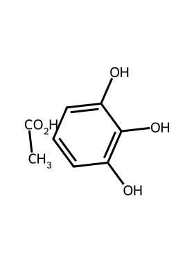 CC(=O)O.Oc1cccc(O)c1O